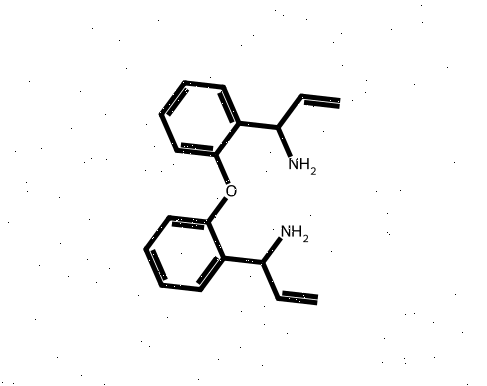 C=CC(N)c1ccccc1Oc1ccccc1C(N)C=C